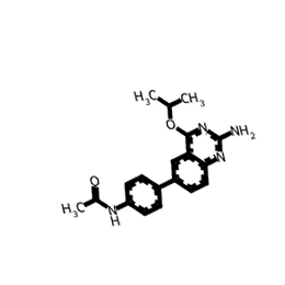 CC(=O)Nc1ccc(-c2ccc3nc(N)nc(OC(C)C)c3c2)cc1